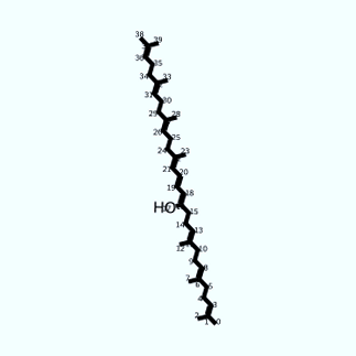 CC(C)=CCC/C(C)=C/CC/C(C)=C/CC/C(O)=C/C=C/C=C(\C)CC/C=C(\C)CC/C=C(\C)CCC=C(C)C